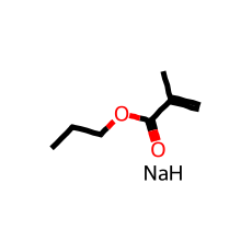 C=C(C)C(=O)OCCC.[NaH]